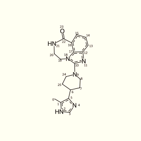 Cc1[nH]cnc1C1CCN(c2nc3cccc4c3n2CCNC4=O)CC1